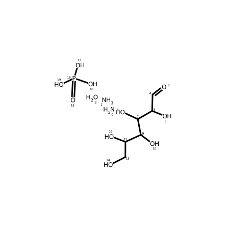 N.N.O.O=CC(O)C(O)C(O)C(O)CO.O=P(O)(O)O